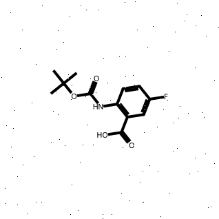 CC(C)(C)OC(=O)Nc1ccc(F)cc1C(=O)O